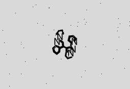 c1ccc(-c2nn3c(c2-c2cc(N4CCCC4)nc4ccccc24)CCC3)nc1